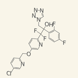 OC(Cn1cnnn1)(c1ccc(F)cc1F)C(F)(F)c1ccc(OCc2ccc(Cl)cn2)cn1